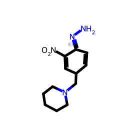 N/N=C1\C=CC(CN2CCCCC2)C=C1[N+](=O)[O-]